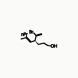 C=C(Br)[C@@H](/C=C(/C)CCC)CCCO